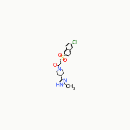 Cc1nc(C2CCN(C(=O)CCS(=O)(=O)c3ccc4cc(Cl)ccc4c3)CC2)c[nH]1